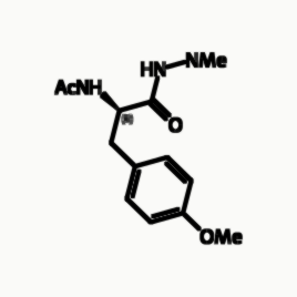 CNNC(=O)[C@@H](Cc1ccc(OC)cc1)NC(C)=O